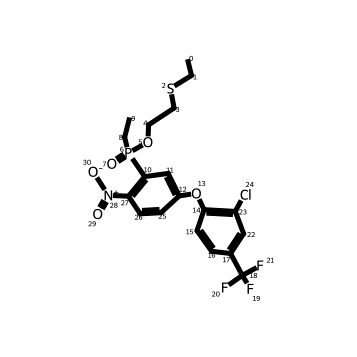 CCSCCOP(=O)(CC)c1cc(Oc2ccc(C(F)(F)F)cc2Cl)ccc1[N+](=O)[O-]